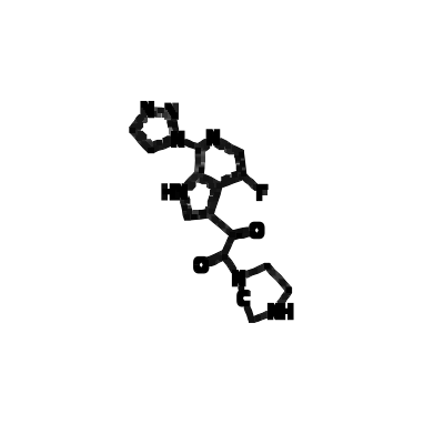 O=C(C(=O)N1CCNCC1)c1c[nH]c2c(-n3ccnn3)ncc(F)c12